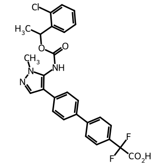 CC(OC(=O)Nc1c(-c2ccc(-c3ccc(C(F)(F)C(=O)O)cc3)cc2)cnn1C)c1ccccc1Cl